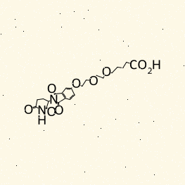 O=C(O)CCCCOCCOCCOc1ccc2c(c1)C(=O)N(C1CCC(=O)NC1=O)C2=O